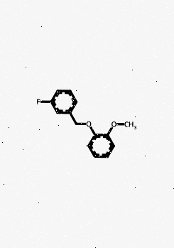 COc1ccc[c]c1OCc1cccc(F)c1